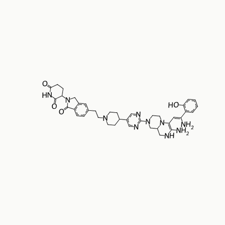 NC1=C(/C=C(\N)c2ccccc2O)N2CCN(c3ncc(C4CCN(CCc5ccc6c(c5)CN(C5CCC(=O)NC5=O)C6=O)CC4)cn3)CC2CN1